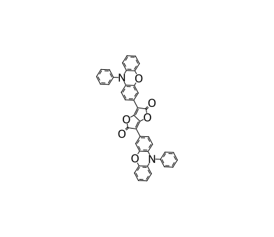 O=C1OC2=C(c3ccc4c(c3)Oc3ccccc3N4c3ccccc3)C(=O)OC2=C1c1ccc2c(c1)Oc1ccccc1N2c1ccccc1